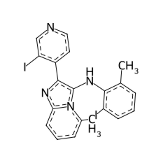 Cc1cccc(I)c1Nc1c(-c2ccncc2I)nc2cccc(C)n12